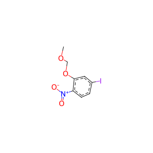 COCOc1cc(I)ccc1[N+](=O)[O-]